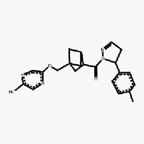 Cc1ccc(C2CC=NN2C(=O)C2CC3(COc4cnc(C#N)cn4)CC2C3)cc1